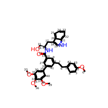 COc1ccc(CCc2cc(C(=O)N[C@@H](CO)Cc3c[nH]c4ccccc34)cc(-c3cc(OC)c(OC)c(OC)c3)c2)cc1